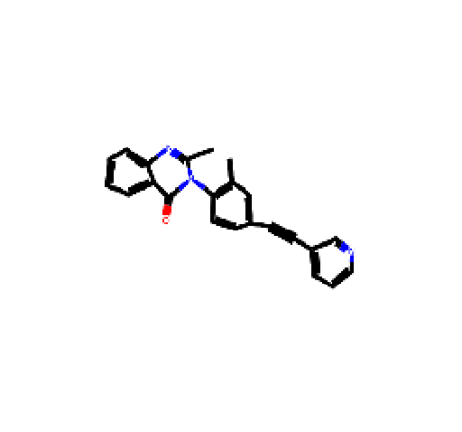 Cc1cc(C#Cc2cccnc2)ccc1-n1c(C)nc2ccccc2c1=O